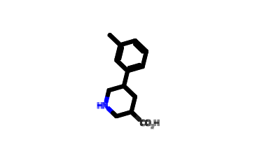 Cc1cccc(C2CNCC(C(=O)O)C2)c1